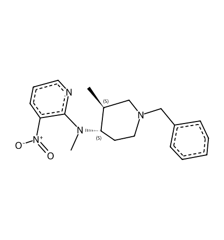 C[C@H]1CN(Cc2ccccc2)CC[C@@H]1N(C)c1ncccc1[N+](=O)[O-]